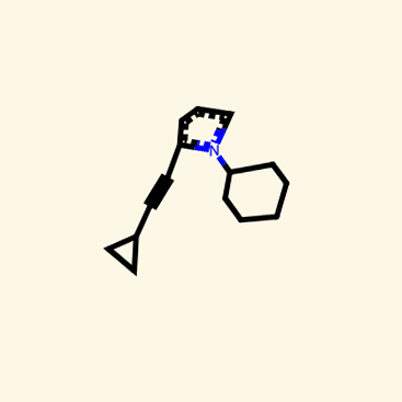 C(#CC1CC1)c1cccn1C1CCCCC1